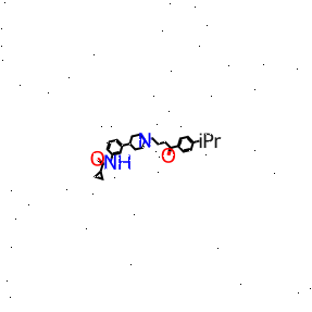 CC(C)c1ccc(C(=O)CCCN2CCC(c3cccc(NC(=O)C4CC4)c3)CC2)cc1